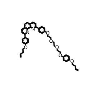 C=CCCOc1ccc(OCCOCCOCCOc2ccc(-c3ccc4ccc5ccc(-c6ccc(OCCC=C)cc6)nc5c4n3)cc2)cc1